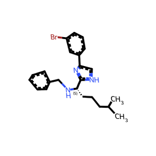 CC(C)CCC[C@H](NCc1ccccc1)c1nc(-c2cccc(Br)c2)c[nH]1